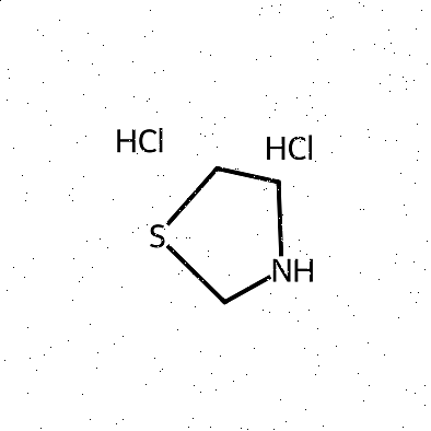 C1CSCN1.Cl.Cl